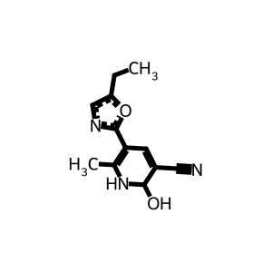 CCc1cnc(C2=C(C)NC(O)C(C#N)=C2)o1